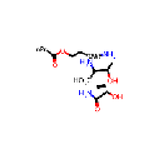 C=C.CC(N)=O.CC(O)C(N)C(=O)O.CCCC(=O)OCCOC(C)=O.NC(=O)CO